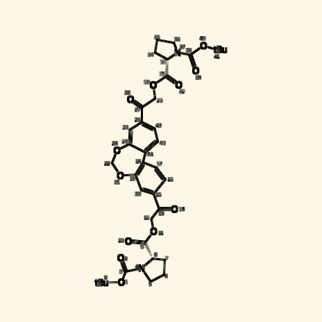 CC(C)(C)OC(=O)N1CCC[C@H]1C(=O)OCC(=O)c1ccc2c(c1)OCOc1cc(C(=O)COC(=O)[C@@H]3CCCN3C(=O)OC(C)(C)C)ccc1-2